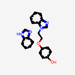 Oc1ccc(OCCn2cnc3ccccc32)cc1.c1ccc2[nH]cnc2c1